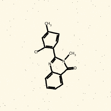 Cc1ccc(-c2nc3ccccc3c(=O)n2C)c(Cl)c1